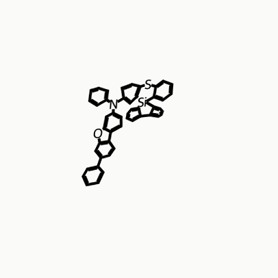 c1ccc(-c2ccc3c(c2)oc2cc(N(c4ccccc4)c4ccc5c(c4)[Si]4(c6ccccc6S5)c5ccccc5-c5ccccc54)ccc23)cc1